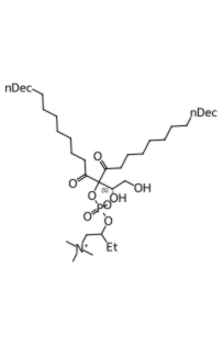 CCCCCCCCCCCCCCCCCC(=O)C(OP(=O)([O-])OC(CC)C[N+](C)(C)C)(C(=O)CCCCCCCCCCCCCCCCC)[C@@H](O)CO